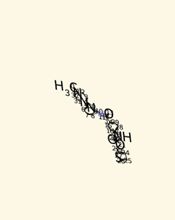 CN1CCN(c2cccc(/C=C/C(=O)c3ccc(NC(=O)OCc4cccs4)cc3)n2)CC1